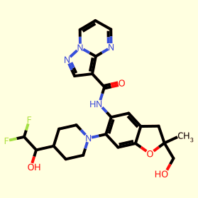 CC1(CO)Cc2cc(NC(=O)c3cnn4cccnc34)c(N3CCC(C(O)C(F)F)CC3)cc2O1